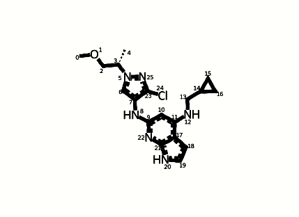 COC[C@H](C)n1cc(Nc2cc(NCC3CC3)c3cc[nH]c3n2)c(Cl)n1